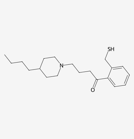 CCCCC1CCN(CCCC(=O)c2ccccc2CS)CC1